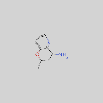 CC1CC(N)c2ncccc2O1